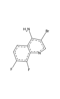 Nc1c(Br)cnc2c(F)c(F)ccc12